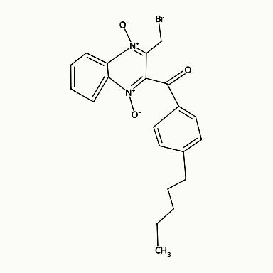 CCCCCc1ccc(C(=O)c2c(CBr)[n+]([O-])c3ccccc3[n+]2[O-])cc1